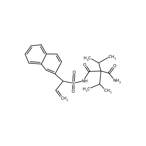 C=CC(c1ccc2ccccc2c1)S(=O)(=O)NC(=O)C(C(N)=O)(C(C)C)C(C)C